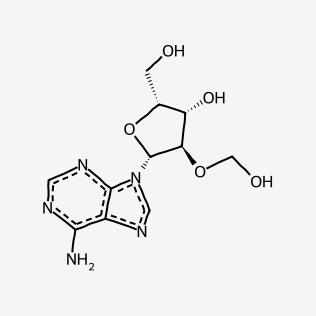 Nc1ncnc2c1ncn2[C@@H]1O[C@H](CO)[C@H](O)[C@H]1OCO